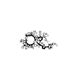 CC[C@H]1OC(=O)[C@H](C)C(=O)[C@H](C)[C@@H](O[C@@H]2O[C@H](C)C[C@H](N(C)C)[C@H]2O)[C@@](C)(OCC#Cc2ccc(-c3nnn(C)n3)s2)C[C@@H](C)C(=O)[C@H](C)[C@H]2NC(=O)O[C@@]21C